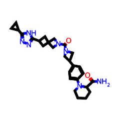 NC(=O)C1CCCCN1c1ccc(C2CN(C(=O)N3CC4(CC(c5nnc(C6CC6)[nH]5)C4)C3)C2)cc1